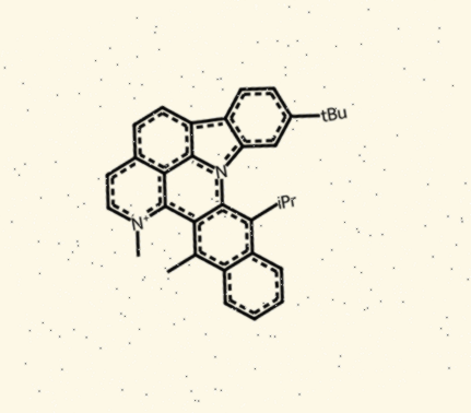 Cc1c2ccccc2c(C(C)C)c2c1c1c3c(ccc4c5ccc(C(C)(C)C)cc5n2c43)cc[n+]1C